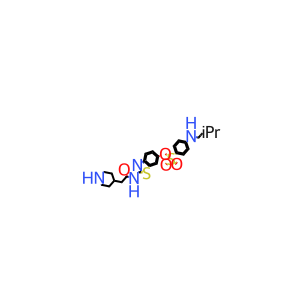 CC(C)CNc1ccc(S(=O)(=O)Oc2ccc3nc(NC(=O)CC4CCNCC4)sc3c2)cc1